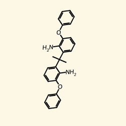 CC(C)(c1cccc(Oc2ccccc2)c1N)c1cccc(Oc2ccccc2)c1N